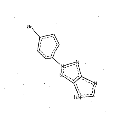 Brc1ccc(-n2nc3n[c][nH]c3n2)cc1